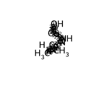 Cc1cc(-c2cnc3[nH]cc(-c4ccc(C(=O)N5CCC(O)CC5)cc4)c3c2)cc(C)c1N1CCN(C)CC1